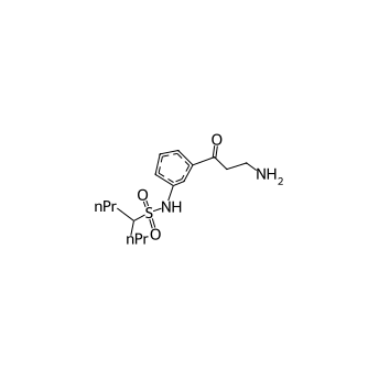 CCCC(CCC)S(=O)(=O)Nc1cccc(C(=O)CCN)c1